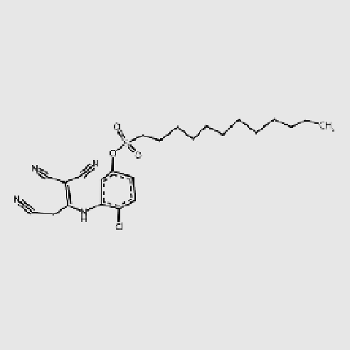 CCCCCCCCCCCCS(=O)(=O)Oc1ccc(Cl)c(NC(CC#N)=C(C#N)C#N)c1